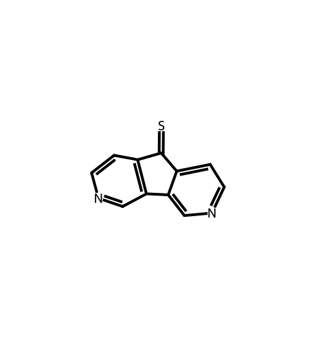 S=C1c2ccncc2-c2cnccc21